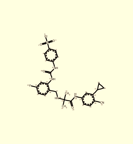 CCS(=O)(=O)c1ccc(NC(=O)Nc2cc(F)ccc2CNC(C)(C)C(=O)Nc2ccc(C#N)c(C3CC3)c2)cc1